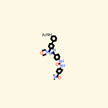 CC(=O)Nc1cccc(-c2ccc3c(N4CCOCC4)nc(-c4ccc(NC(=O)Nc5ccc(C(=O)N(C)C)cc5)cc4)nc3c2)c1